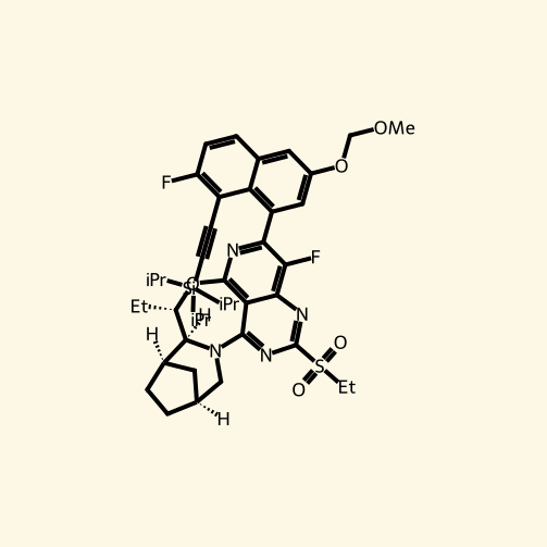 CC[C@@H]1Oc2nc(-c3cc(OCOC)cc4ccc(F)c(C#C[Si](C(C)C)(C(C)C)C(C)C)c34)c(F)c3nc(S(=O)(=O)CC)nc(c23)N2C[C@H]3CC[C@H](C3)[C@@H]12